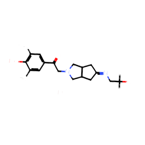 Br.CCC(O)(CC)CN=C1CC2CN(CC(=O)c3cc(C(C)(C)C)c(O)c(C(C)(C)C)c3)CC2C1